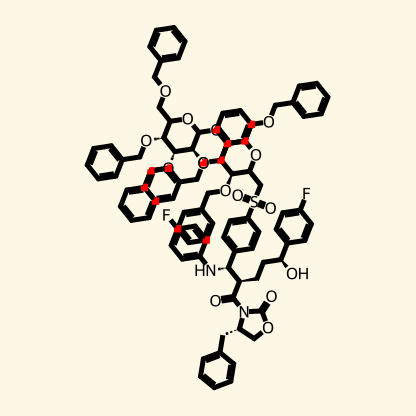 O=C1OC[C@H](Cc2ccccc2)N1C(=O)[C@H](CC[C@H](O)c1ccc(F)cc1)[C@H](Nc1ccc(F)cc1)c1ccc(S(=O)(=O)CC2OC(COCc3ccccc3)[C@@H](OC3OC(COCc4ccccc4)[C@@H](OCc4ccccc4)[C@@H](OCc4ccccc4)[C@@H]3OCc3ccccc3)[C@@H](OCc3ccccc3)[C@@H]2OCc2ccccc2)cc1